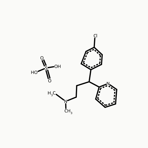 CN(C)CCC(c1ccc(Cl)cc1)c1ccccn1.O=S(=O)(O)O